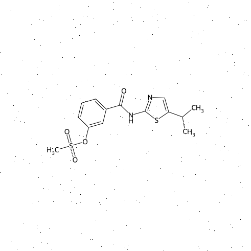 CC(C)c1cnc(NC(=O)c2cccc(OS(C)(=O)=O)c2)s1